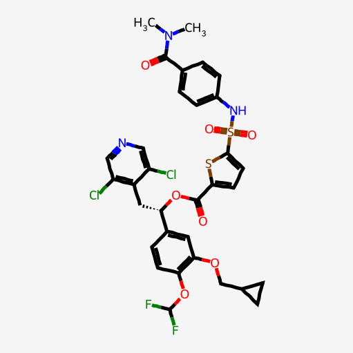 CN(C)C(=O)c1ccc(NS(=O)(=O)c2ccc(C(=O)O[C@@H](Cc3c(Cl)cncc3Cl)c3ccc(OC(F)F)c(OCC4CC4)c3)s2)cc1